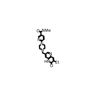 CCc1cc2ncc(CN3CCN(c4ccc(C(=O)NC)cn4)CC3)cc2[nH]c1=O